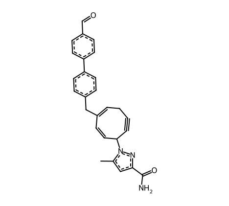 Cc1cc(C(N)=O)nn1C1C#CC/C=C(Cc2ccc(-c3ccc(C=O)cc3)cc2)\C=C/1